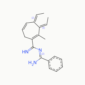 C/C=C1/C=CCC(C(=N)/N=C(\N)c2ccccc2)=C(C)/C1=C/C